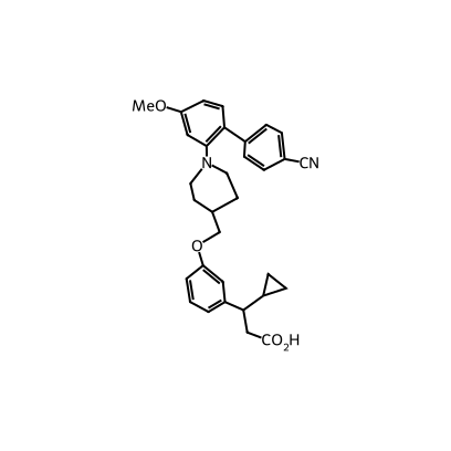 COc1ccc(-c2ccc(C#N)cc2)c(N2CCC(COc3cccc(C(CC(=O)O)C4CC4)c3)CC2)c1